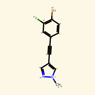 Cn1cc(C#Cc2ccc(S)c(F)c2)cn1